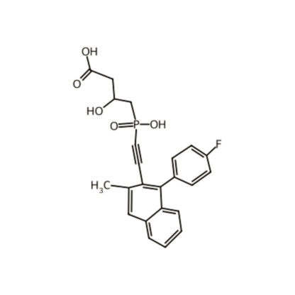 Cc1cc2ccccc2c(-c2ccc(F)cc2)c1C#CP(=O)(O)CC(O)CC(=O)O